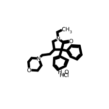 CCN1CC(CCN2CCOCC2)C(c2ccccc2)(c2ccccc2)C1=O.Cl.O